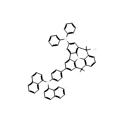 CC1(C)c2cccc3c2-n2c4c1cc(-c1ccc(N(c5cccc6ccccc56)c5cccc6ccccc56)cc1)cc4c1cc(N(c4ccccc4)c4ccccc4)cc(c12)C3(C)C